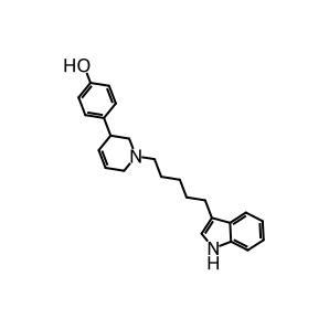 Oc1ccc(C2C=CCN(CCCCCc3c[nH]c4ccccc34)C2)cc1